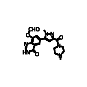 CN1CCN(C(=O)c2cc(-c3cc(OC=O)c4nc[nH]c(=O)c4c3)n(C)n2)CC1